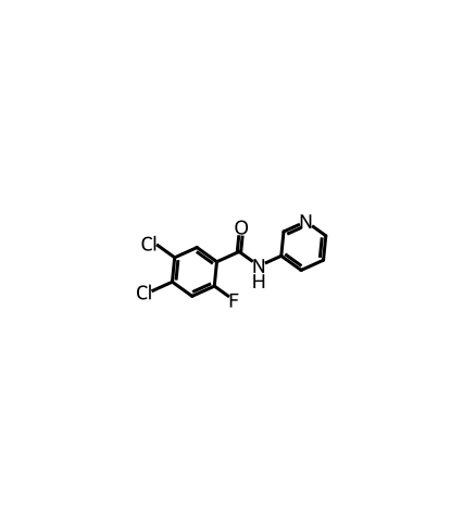 O=C(Nc1cccnc1)c1cc(Cl)c(Cl)cc1F